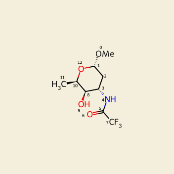 CO[C@@H]1C[C@H](NC(=O)C(F)(F)F)[C@@H](O)[C@@H](C)O1